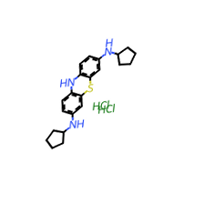 Cl.Cl.c1cc2c(cc1NC1CCCC1)Sc1cc(NC3CCCC3)ccc1N2